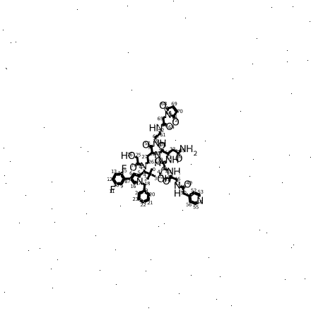 CC(C)(C)C(c1cc(-c2cc(F)ccc2F)cn1Cc1ccccc1)N(CCC(NC(=O)C(CC(N)=O)NC(=O)[C@@H](CO)NC(=O)CNC(=O)Cc1ccncc1)C(=O)NCCNC(=O)CN1C(=O)C=CC1=O)C(=O)CO